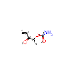 C=CC(=O)C(C)OC(N)=O